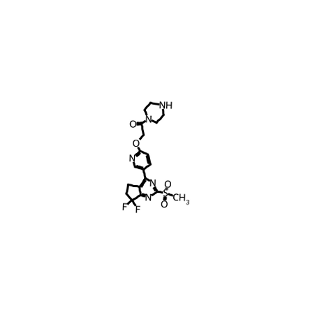 CS(=O)(=O)c1nc(-c2ccc(OCC(=O)N3CCNCC3)nc2)c2c(n1)C(F)(F)CC2